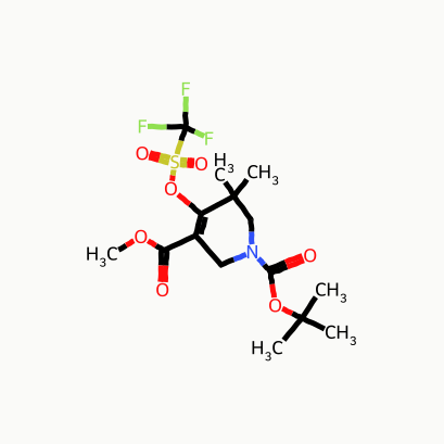 COC(=O)C1=C(OS(=O)(=O)C(F)(F)F)C(C)(C)CN(C(=O)OC(C)(C)C)C1